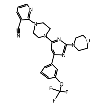 N#Cc1cccnc1N1CCN(c2cc(-c3cccc(OC(F)(F)F)c3)nc(N3CCOCC3)n2)CC1